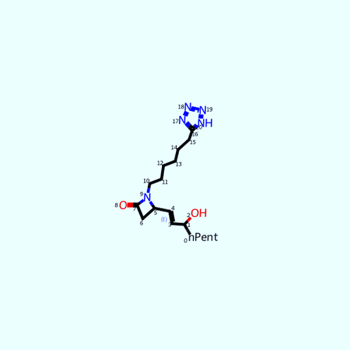 CCCCCC(O)/C=C/C1CC(=O)N1CCCCCCc1nnn[nH]1